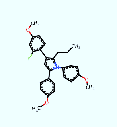 CCCc1c(-c2ccc(OC)cc2F)cc(-c2ccc(OC)cc2)n1-c1ccc(OC)cc1